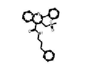 CS(=O)(=O)Cc1c(-c2ccccc2)nc2ccccc2c1C(=O)NCCCc1ccccc1